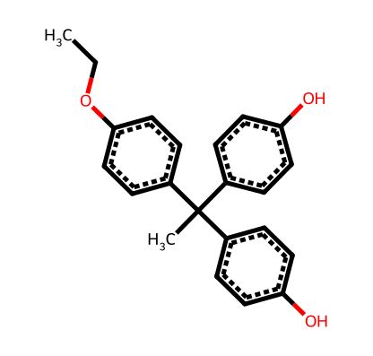 CCOc1ccc(C(C)(c2ccc(O)cc2)c2ccc(O)cc2)cc1